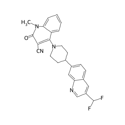 Cn1c(=O)c(C#N)c(N2CCC(c3ccc4cc(C(F)F)cnc4c3)CC2)c2ccccc21